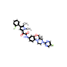 Cc1c(-c2ccccc2F)cc(C(=O)C(=O)Nc2ccc3c(c2)OC[C@H]2CN(c4ncc(F)cn4)CCN32)n1C